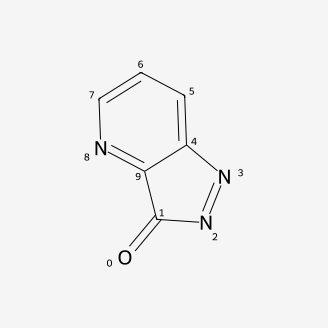 O=C1N=Nc2cccnc21